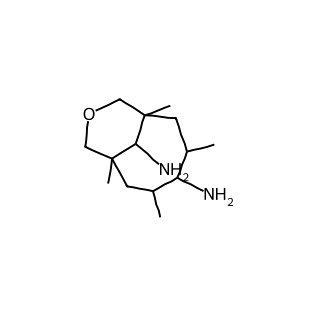 CC1CC2(C)COCC(C)(CC(C)C1N)C2N